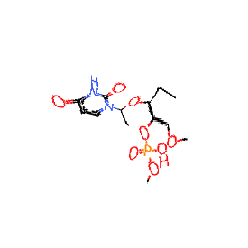 CC[C@H](OC(C)n1ccc(=O)[nH]c1=O)C(COC)OP(=O)(O)OC